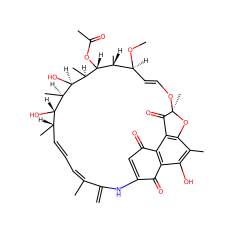 C=C1NC2=CC(=O)c3c(c(O)c(C)c4c3C(=O)[C@@](C)(O/C=C/[C@H](OC)[C@@H](C)[C@@H](OC(C)=O)[C@H](C)[C@H](O)[C@H](C)[C@@H](O)[C@@H](C)/C=C/C=C\1C)O4)C2=O